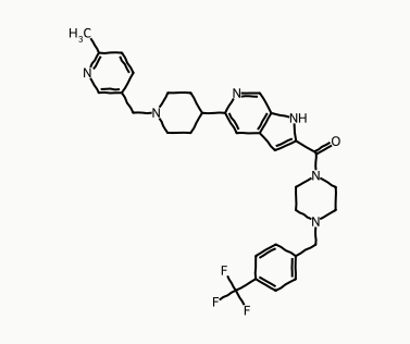 Cc1ccc(CN2CCC(c3cc4cc(C(=O)N5CCN(Cc6ccc(C(F)(F)F)cc6)CC5)[nH]c4cn3)CC2)cn1